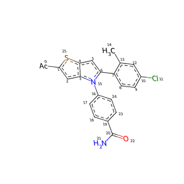 CC(=O)c1cc2c(cc(-c3ccc(Cl)cc3C)n2-c2ccc(C(N)=O)cc2)s1